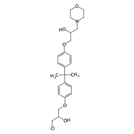 CC(C)(c1ccc(OCC(O)CCl)cc1)c1ccc(OCC(O)CN2CCOCC2)cc1